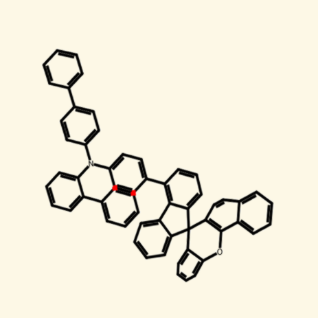 c1ccc(-c2ccc(N(c3ccc(-c4cccc5c4-c4ccccc4C54c5ccccc5Oc5c4ccc4ccccc54)cc3)c3ccccc3-c3ccccc3)cc2)cc1